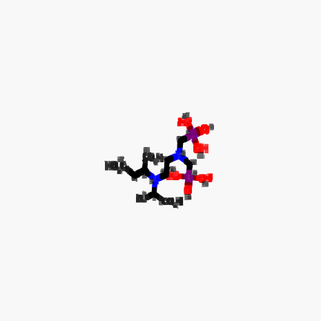 CCC(C)C(C(=O)O)N(CCN(CP(=O)(O)O)CP(=O)(O)O)C(CC(=O)O)C(=O)O